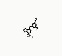 Cc1ccc(Cc2cc(F)cc(C#N)c2)c2c1CCC2